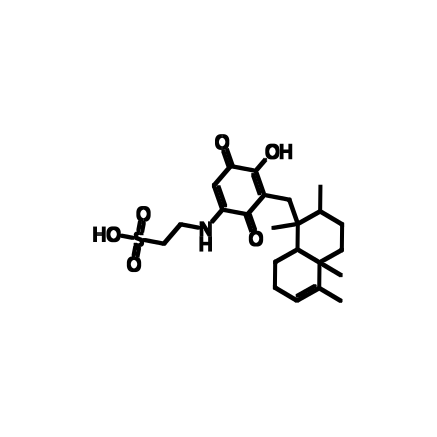 CC1=CCCC2C1(C)CCC(C)C2(C)CC1=C(O)C(=O)C=C(NCCS(=O)(=O)O)C1=O